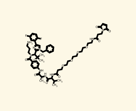 CC(C)C(NC(=O)CCOCCOCCOCCOCCNC(=O)CCN1C(=O)C=CC1=O)C(=O)N[C@@H](C)C(=O)Nc1ccc(C(=O)N(CCCN)C(c2nc(-c3cc(F)ccc3F)cn2Cc2ccccc2)C(C)(C)C)cc1